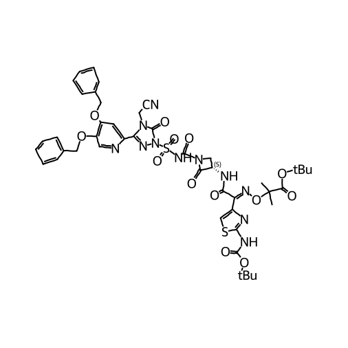 CC(C)(C)OC(=O)Nc1nc(C(=NOC(C)(C)C(=O)OC(C)(C)C)C(=O)N[C@H]2CN(C(=O)NS(=O)(=O)n3nc(-c4cc(OCc5ccccc5)c(OCc5ccccc5)cn4)n(CC#N)c3=O)C2=O)cs1